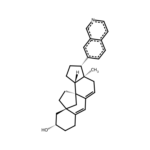 C[C@]12CC=C3C=C4CC[C@H](O)C[C@]45CC[C@]3(C5)[C@@H]1CC[C@@H]2c1ccc2ccncc2c1